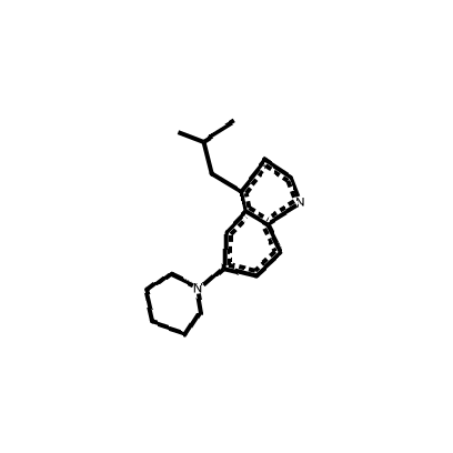 CC(C)Cc1ccnc2ccc(N3CCCCC3)cc12